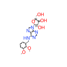 COc1cccc(CNc2ncnc3c2ncn3C2O[C@H](CO)[C@@H](O)[C@@H]2O)c1OC